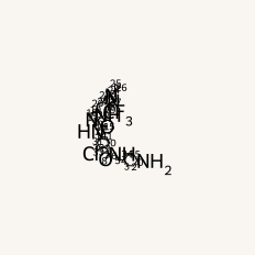 NC1CCC(CNC(=O)c2ccc(NC(=O)c3ncc(Cc4cn(C5CC5)nc4C(F)(F)F)[nH]3)cc2Cl)CC1